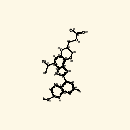 COc1cnc2c(-c3nc4c(C(F)F)cc5c(c4s3)OCC(COC(=O)Cl)O5)cc(C)cc2n1